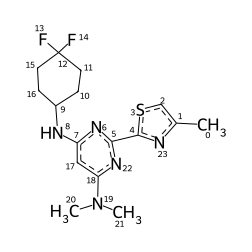 Cc1csc(-c2nc(NC3CCC(F)(F)CC3)cc(N(C)C)n2)n1